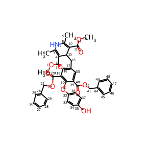 COC(=O)C1=C(C)NC(C)=C(C(=O)OC)C1Cc1cc(C(=O)OCc2ccccc2)c(Oc2ccc(O)cc2)c(C(=O)OCc2ccccc2)c1